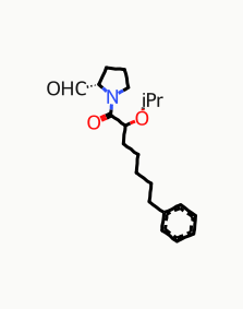 CC(C)OC(CCCCCc1ccccc1)C(=O)N1CCC[C@H]1C=O